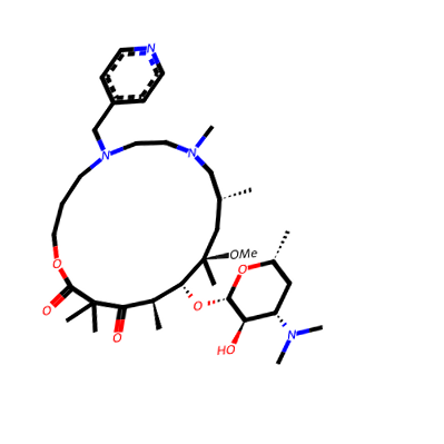 CO[C@]1(C)C[C@@H](C)CN(C)CCN(Cc2ccncc2)CCCOC(=O)C(C)(C)C(=O)[C@H](C)[C@H]1O[C@@H]1O[C@H](C)C[C@H](N(C)C)[C@H]1O